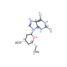 CC(=O)OC[C@@H]1C[C@H](OC(C)=O)CC(n2cnc3c(Cl)nc(Cl)nc32)O1